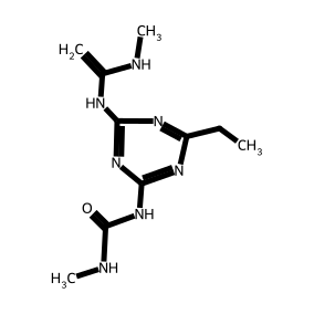 C=C(NC)Nc1nc(CC)nc(NC(=O)NC)n1